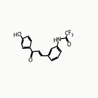 O=C(/C=C/c1cccc(NC(=O)C(F)(F)F)c1)c1ccc(O)cc1